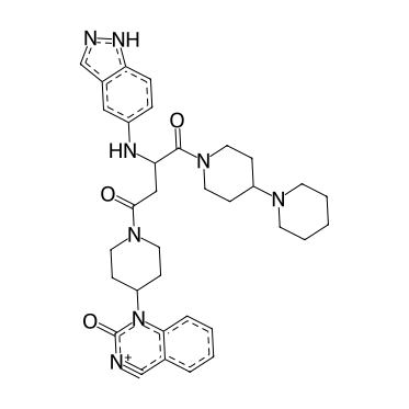 O=C(CC(Nc1ccc2[nH]ncc2c1)C(=O)N1CCC(N2CCCCC2)CC1)N1CCC(n2c(=O)[n+]#cc3ccccc32)CC1